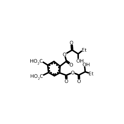 CCC(O)C(=O)OC(=O)c1cc(C(=O)O)c(C(=O)O)cc1C(=O)OC(=O)C(O)CC